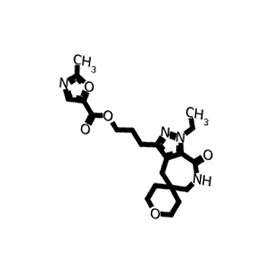 CCn1nc(CCCOC(=O)c2cnc(C)o2)c2c1C(=O)NCC1(CCOCC1)C2